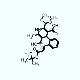 COC(OC)C1=C(C(=O)O)C(c2ccccc2/C=C/C(=O)OC(C)(C)C)C(C(=O)O)=C(C)N1